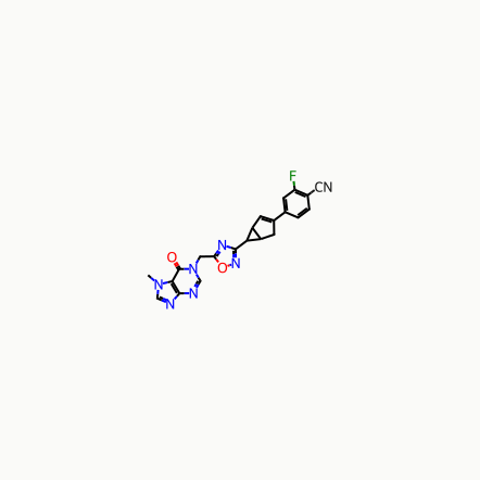 Cn1cnc2ncn(Cc3nc(C4C5C=C(c6ccc(C#N)c(F)c6)CC54)no3)c(=O)c21